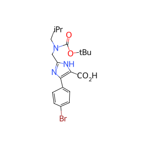 CC(C)CN(Cc1nc(-c2ccc(Br)cc2)c(C(=O)O)[nH]1)C(=O)OC(C)(C)C